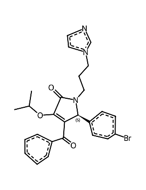 CC(C)OC1=C(C(=O)c2ccccc2)[C@H](c2ccc(Br)cc2)N(CCCn2ccnc2)C1=O